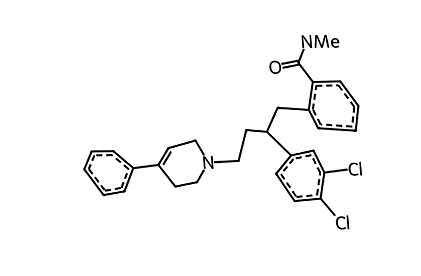 CNC(=O)c1ccccc1CC(CCN1CC=C(c2ccccc2)CC1)c1ccc(Cl)c(Cl)c1